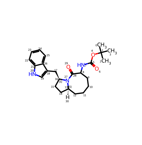 CC(C)(C)OC(=O)NC1CCCC[C@H]2CC[C@@H](Cc3c[nH]c4ccccc34)N2C1=O